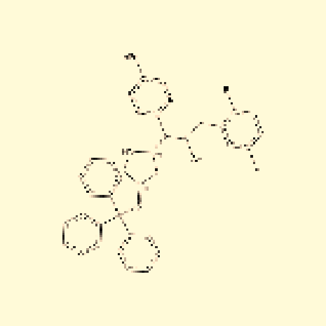 CCCc1cnc(C([C@@H]2C[C@@H](SC(c3ccccc3)(c3ccccc3)c3ccccc3)CN2)N(Cc2cc(F)ccc2F)C(C)=O)nc1